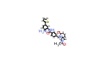 CC(=O)N1CC2(CCCC(=O)N2Cc2ccc(C(=O)Nc3cc(-c4cccs4)ccc3N)cc2)C1